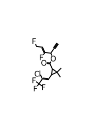 C#CC(OC(=O)C1C(C=C(Cl)C(F)(F)F)C1(C)C)C(F)=CCF